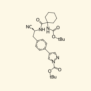 CC(C)(C)OC(=O)NC1(C(=O)N[C@H](C#N)Cc2ccc(-c3cnn(C(=O)OC(C)(C)C)c3)cc2)CCCCC1